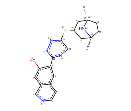 Oc1cc2cnccc2cc1-c1ncc(SC2C[C@H]3CC[C@@H](C2)N3)nn1